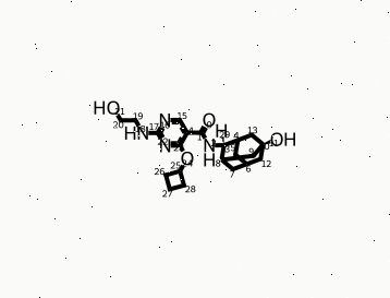 O=C(N[C@H]1C2CC3CC1C[C@@](O)(C3)C2)c1cnc(NCCO)nc1OC1CCC1